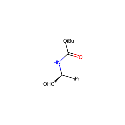 CC(C)COC(=O)N[C@H]([C]=O)C(C)C